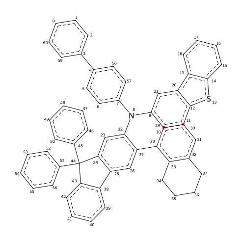 c1ccc(-c2ccc(N(c3ccc4sc5ccccc5c4c3)c3cc4c(cc3-c3cccc5c3CCCC5)-c3ccccc3C4(c3ccccc3)c3ccccc3)cc2)cc1